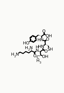 C[C@@H](O)[C@H](NC(=O)[C@@H](N)CCCCN)C(=O)N[C@@H](CS)C(=O)N[C@H](Cc1ccc(O)cc1)C(=O)O